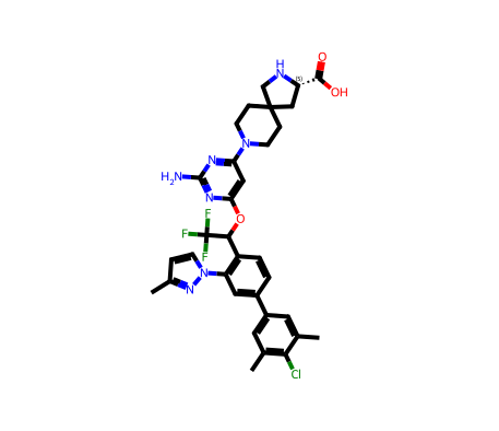 Cc1ccn(-c2cc(-c3cc(C)c(Cl)c(C)c3)ccc2C(Oc2cc(N3CCC4(CC3)CN[C@H](C(=O)O)C4)nc(N)n2)C(F)(F)F)n1